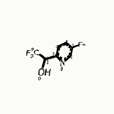 OC(c1ccc(F)cn1)C(F)(F)F